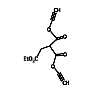 C#COC(=O)C(CC(=O)OCC)C(=O)OC#C